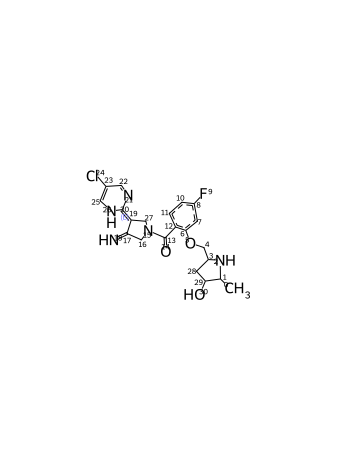 CC1NC(COc2cc(F)ccc2C(=O)N2CC(=N)/C(=C3/N=CC(Cl)=CN3)C2)CC1O